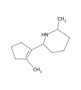 CC1=C(C2C[CH]CC(C)N2)CCC1